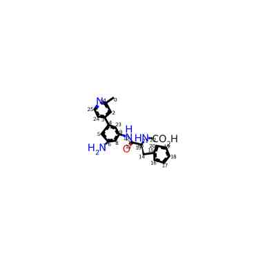 Cc1cc(-c2cc(N)cc(NC(=O)[C@H](Cc3ccccc3)NC(=O)O)c2)ccn1